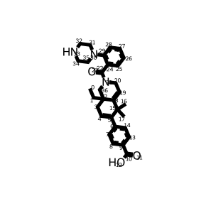 CCC12CC=C(c3ccc(C(=O)O)cc3)C(C)(C)C1=CCN(C(=O)c1ccccc1N1CCNCC1)C2